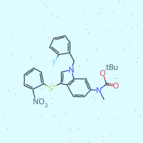 CN(C(=O)OC(C)(C)C)c1ccc2c(Sc3ccccc3[N+](=O)[O-])cn(Cc3ccccc3F)c2c1